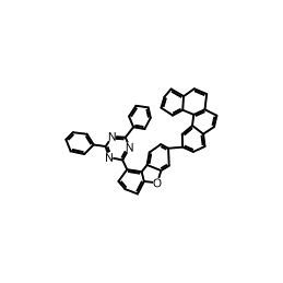 c1ccc(-c2nc(-c3ccccc3)nc(-c3cccc4oc5cc(-c6ccc7ccc8ccc9ccccc9c8c7c6)ccc5c34)n2)cc1